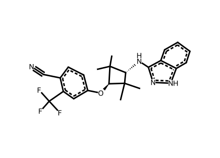 CC1(C)[C@H](Nc2n[nH]c3ccccc23)C(C)(C)[C@H]1Oc1ccc(C#N)c(C(F)(F)F)c1